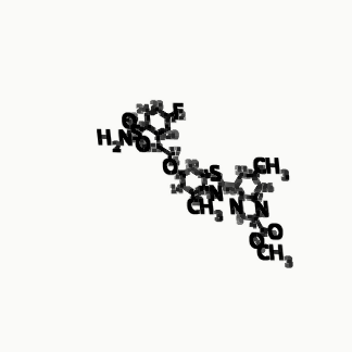 COC(=O)c1cnc2c(-c3nc4c(C)cc(OCCc5cc(F)ccc5S(N)(=O)=O)cc4s3)cc(C)cc2n1